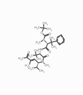 CC(=O)/C(C)=C/[C@H](C(C)C)N(C)C(=O)[C@@H](NC(=O)[C@@H](N(C)C(=O)OC(C)(C)C)C(C)(C)c1ccccc1)C(C)(C)C